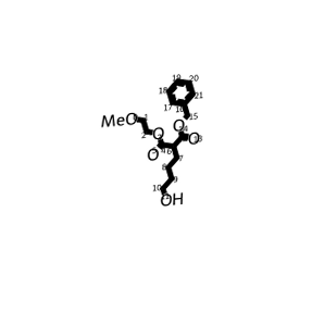 COCCOC(=O)C(CCCCO)C(=O)OCc1ccccc1